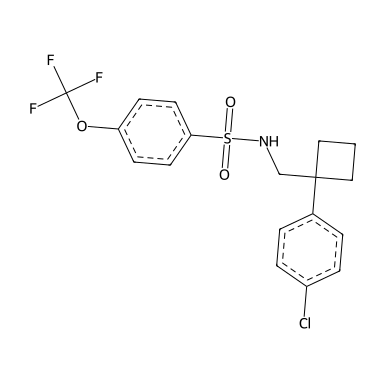 O=S(=O)(NCC1(c2ccc(Cl)cc2)CCC1)c1ccc(OC(F)(F)F)cc1